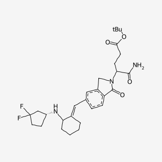 CC(C)(C)OC(=O)CCC(C(N)=O)N1Cc2cc(/C=C3\CCCCC3N[C@@H]3CCC(F)(F)C3)ccc2C1=O